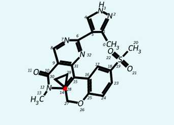 Cc1n[nH]cc1-c1ncc2c(=O)n(C)cc(-c3cc(S(C)(=O)=O)ccc3OCC3CC3)c2n1